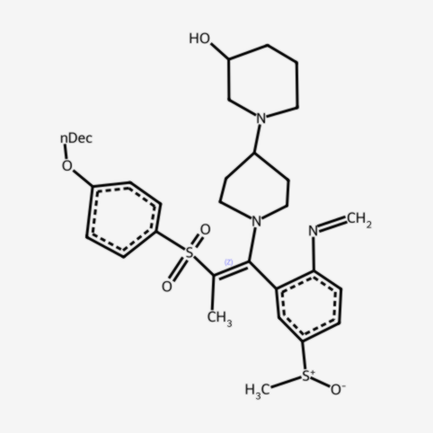 C=Nc1ccc([S+](C)[O-])cc1/C(=C(\C)S(=O)(=O)c1ccc(OCCCCCCCCCC)cc1)N1CCC(N2CCCC(O)C2)CC1